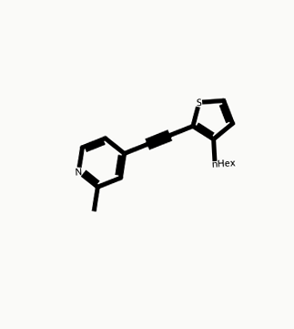 CCCCCCc1ccsc1C#Cc1ccnc(C)c1